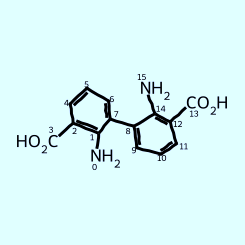 Nc1c(C(=O)O)cccc1-c1cccc(C(=O)O)c1N